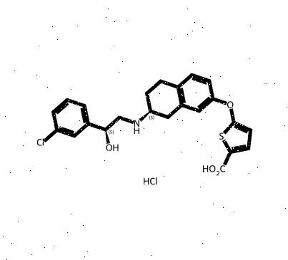 Cl.O=C(O)c1ccc(Oc2ccc3c(c2)C[C@@H](NC[C@@H](O)c2cccc(Cl)c2)CC3)s1